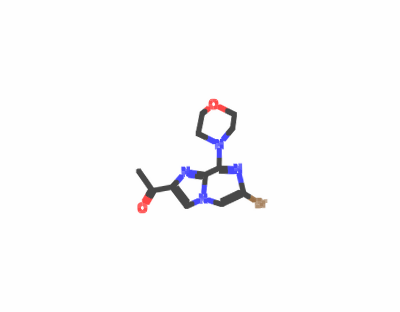 CC(=O)c1cn2cc(Br)nc(N3CCOCC3)c2n1